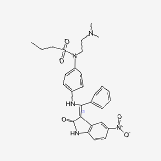 CCCS(=O)(=O)N(CCN(C)C)c1ccc(N/C(=C2\C(=O)Nc3ccc([N+](=O)[O-])cc32)c2ccccc2)cc1